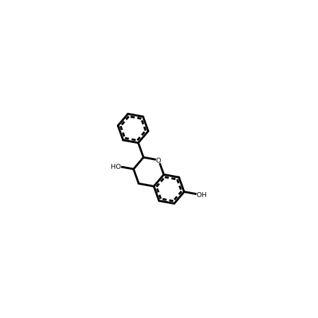 Oc1ccc2c(c1)OC(c1ccccc1)C(O)C2